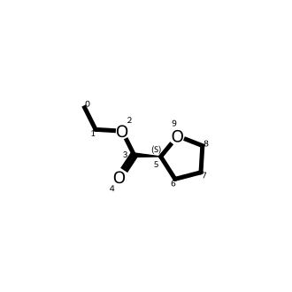 CCOC(=O)[C@@H]1CCCO1